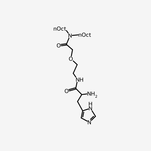 CCCCCCCCN(CCCCCCCC)C(=O)COCCNC(=O)C(N)Cc1cnc[nH]1